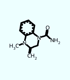 C=C1CN(C(N)=O)c2ccccc2N1C